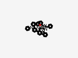 O=c1c2c(ccc3c4ccccc4n(-c4nc(-c5ccccc5)nc(-c5ccccc5)n4)c32)c2ccc3c(c4ccccc4n3-c3ccccc3)c2n1-c1ccccc1